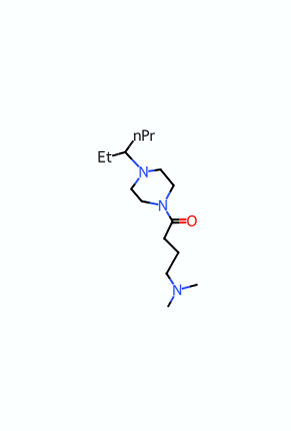 CCCC(CC)N1CCN(C(=O)CCCN(C)C)CC1